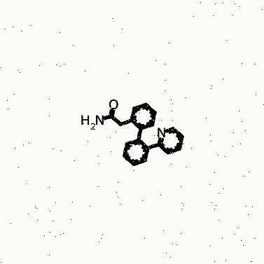 NC(=O)Cc1ccccc1-c1ccccc1-c1ccccn1